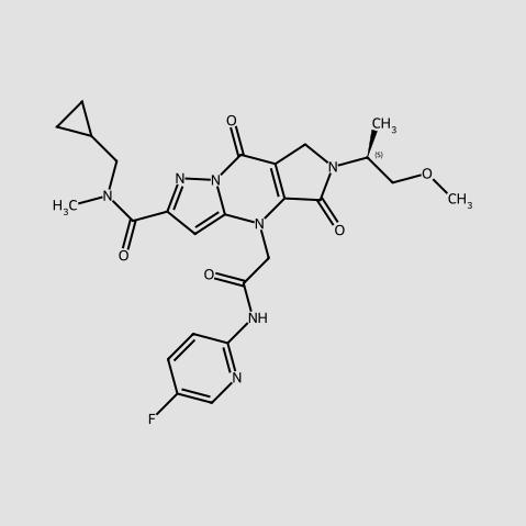 COC[C@H](C)N1Cc2c(n(CC(=O)Nc3ccc(F)cn3)c3cc(C(=O)N(C)CC4CC4)nn3c2=O)C1=O